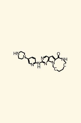 O=C1NCCCCCCn2c1cc1cnc(Nc3ccc(N4CCNCC4)cn3)nc12